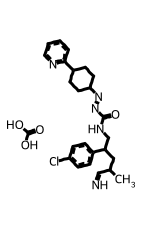 CC(C=N)CC(CNC(=O)N=NC1CCC(c2ccccn2)CC1)c1ccc(Cl)cc1.O=C(O)O